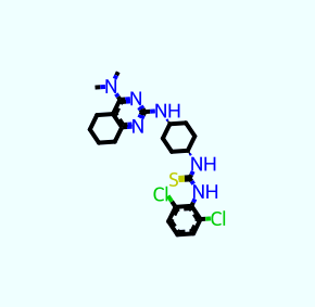 CN(C)c1nc(N[C@H]2CC[C@@H](NC(=S)Nc3c(Cl)cccc3Cl)CC2)nc2c1CCCC2